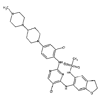 CN1CCN(C2CCN(c3ccc(Nc4ncc(Cl)c(Nc5cc6c(cc5NS(C)(=O)=O)CCO6)n4)c(Cl)c3)CC2)CC1